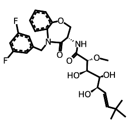 CO[C@@H](C(=O)N[C@H]1COc2ccccc2N(Cc2cc(F)cc(F)c2)C1=O)[C@H](O)[C@@H](O)[C@H](O)C=CC(C)(C)C